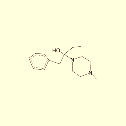 CCC(O)(Cc1ccccc1)N1CCN(C)CC1